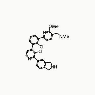 CNCc1ccc(-c2cccc(-c3ccnc(-c4ccc5c(c4)CNC5)c3Cl)c2Cl)nc1OC